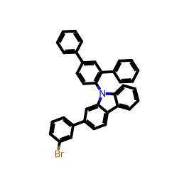 Brc1cccc(-c2ccc3c4ccccc4n(-c4ccc(-c5ccccc5)cc4-c4ccccc4)c3c2)c1